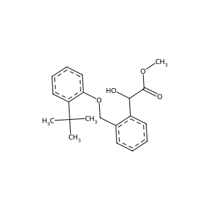 COC(=O)C(O)c1ccccc1COc1ccccc1C(C)(C)C